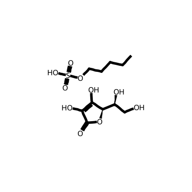 CCCCCOS(=O)(=O)O.O=C1O[C@H]([C@@H](O)CO)C(O)=C1O